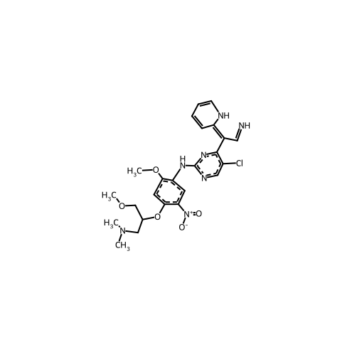 COCC(CN(C)C)Oc1cc(OC)c(Nc2ncc(Cl)c(/C(C=N)=C3\C=CC=CN3)n2)cc1[N+](=O)[O-]